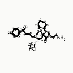 Cl.Cl.Cl.NCCN1CN(c2ccccc2)C2(CCN(CCCC(=O)c3ccc(F)cc3)CC2)C1=O